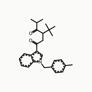 Cc1ccc(Cn2cc(C(=O)CC(C(=O)C(C)C)C(C)(C)C)c3ccccc32)cc1